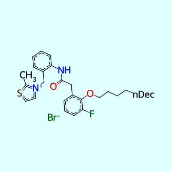 CCCCCCCCCCCCCCOc1c(F)cccc1CC(=O)Nc1ccccc1C[n+]1ccsc1C.[Br-]